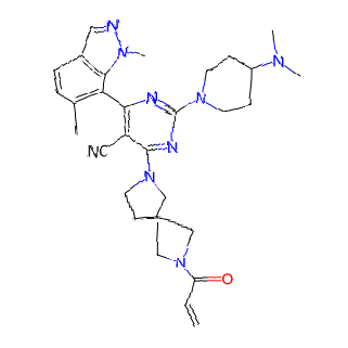 C=CC(=O)N1CC2(CCN(c3nc(N4CCC(N(C)C)CC4)nc(-c4c(C)ccc5cnn(C)c45)c3C#N)C2)C1